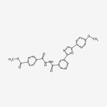 COC(=O)c1ccc(C(=O)NNC(=O)c2cccc(-c3ncc(-c4ccc(OC)cc4)o3)c2)cc1